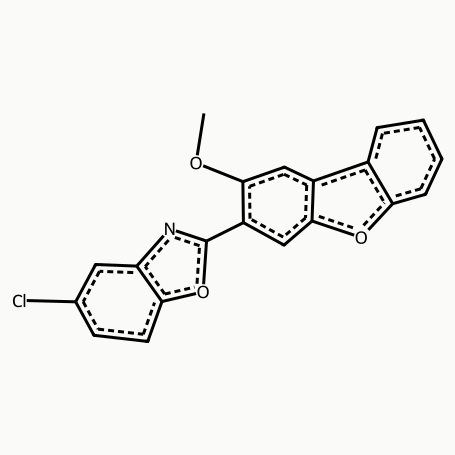 COc1cc2c(cc1-c1nc3cc(Cl)ccc3o1)oc1ccccc12